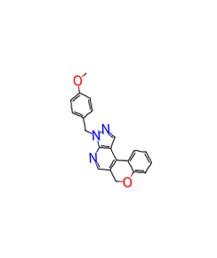 COc1ccc(Cn2ncc3c4c(cnc32)COc2ccccc2-4)cc1